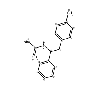 C=C(CCCC)NC(Cc1ccc(C)cc1)c1ccccc1